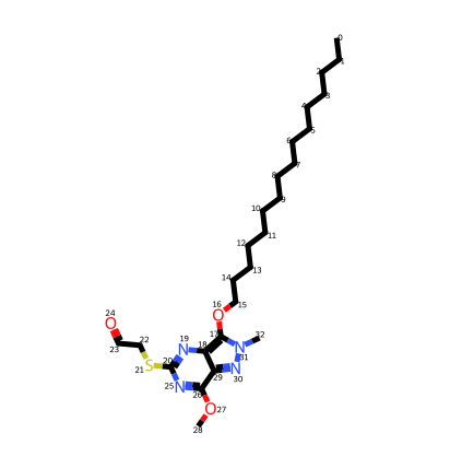 CCCCCCCCCCCCCCCCOc1c2nc(SCC=O)nc(OC)c2nn1C